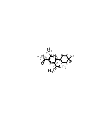 Cc1nc(C2CCC(F)(F)CC2)c(C(C)C)cc1C(N)=O